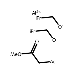 CC(C)C[O-].CC(C)C[O-].COC(=O)CC(C)=O.[Al+2]